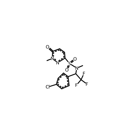 CN(C(c1ccc(Cl)cc1)C(F)(F)F)S(=O)(=O)c1ccc(=O)n(C)n1